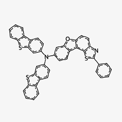 c1ccc(-c2nc3ccc4oc5cc(N(c6ccc7c(c6)sc6ccccc67)c6ccc7c(c6)sc6ccccc67)ccc5c4c3s2)cc1